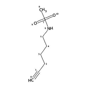 C#CCCCCNS(C)(=O)=O